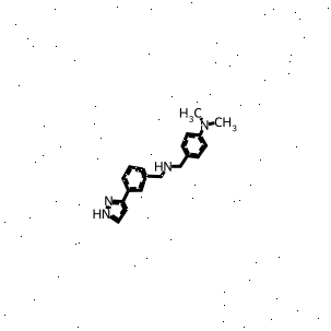 CN(C)c1ccc(CNCc2cccc(-c3cc[nH]n3)c2)cc1